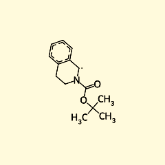 CC(C)(C)OC(=O)N1[CH]c2ccccc2CC1